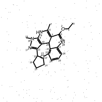 CCOC(=O)C1=C(C)Nc2c(c(C3CCCC3)nn2C)C1c1c(Cl)cccc1Cl